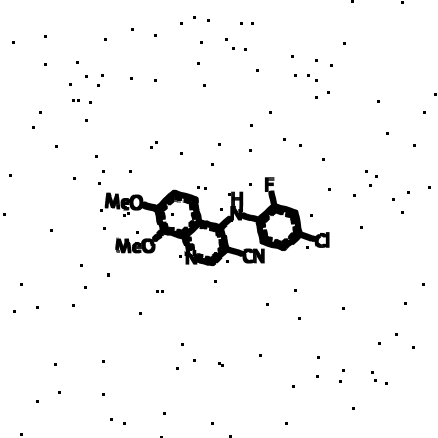 COc1ccc2c(Nc3ccc(Cl)cc3F)c(C#N)cnc2c1OC